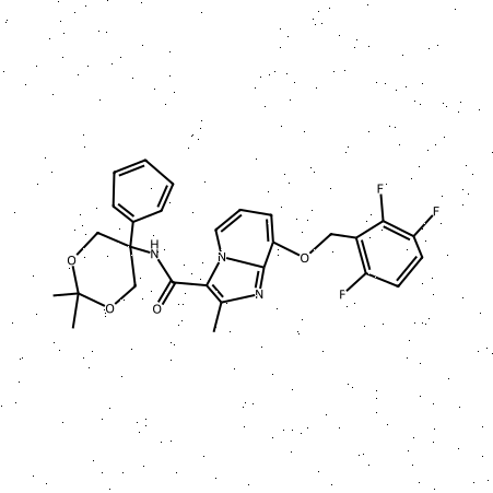 Cc1nc2c(OCc3c(F)ccc(F)c3F)cccn2c1C(=O)NC1(c2ccccc2)COC(C)(C)OC1